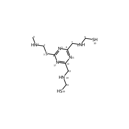 CNCSc1nc(CNCS)nc(CNCS)n1